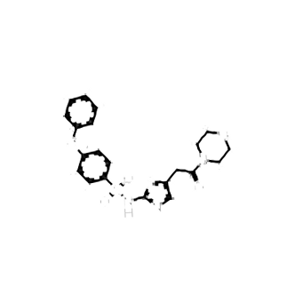 O=C(Cc1cnc(NS(=O)(=O)c2ccc(Oc3ccccc3)cc2)s1)N1CCOCC1